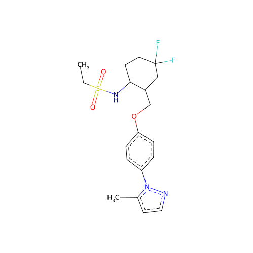 CCS(=O)(=O)NC1CCC(F)(F)CC1COc1ccc(-n2nccc2C)cc1